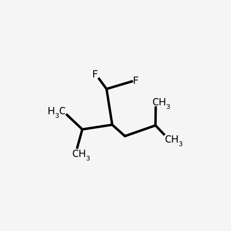 CC(C)CC(C(C)C)C(F)F